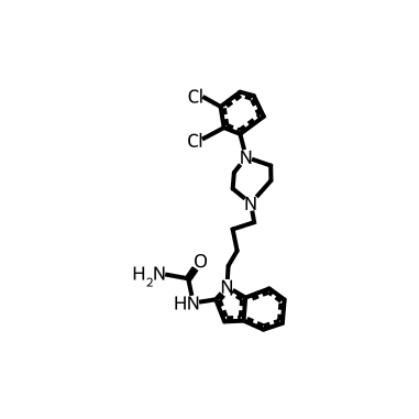 NC(=O)Nc1cc2ccccc2n1CCCCN1CCN(c2cccc(Cl)c2Cl)CC1